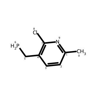 Cc1ccc(CP)c(Cl)n1